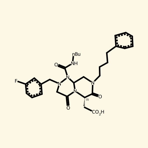 CCCCNC(=O)N1C2CN(CCCCc3ccccc3)C(=O)[C@H](CC(=O)O)N2C(=O)CN1Cc1cccc(F)c1